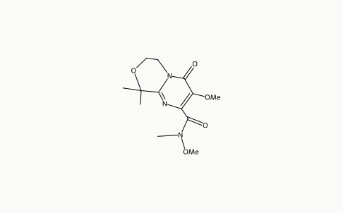 COc1c(C(=O)N(C)OC)nc2n(c1=O)CCOC2(C)C